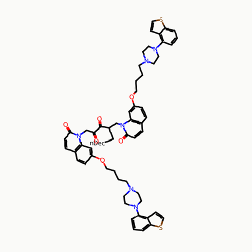 CCCCCCCCCCCC(Cn1c(=O)ccc2ccc(OCCCCN3CCN(c4cccc5sccc45)CC3)cc21)C(=O)C(=O)Cn1c(=O)ccc2ccc(OCCCCN3CCN(c4cccc5sccc45)CC3)cc21